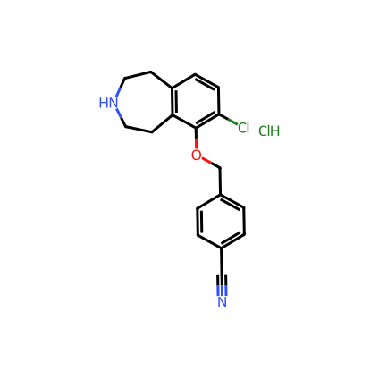 Cl.N#Cc1ccc(COc2c(Cl)ccc3c2CCNCC3)cc1